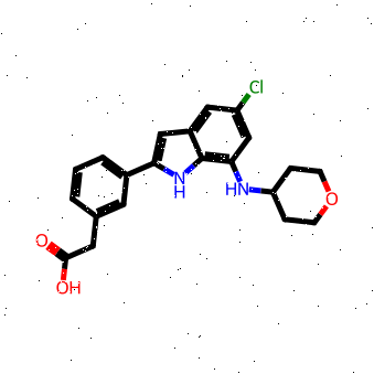 O=C(O)Cc1cccc(-c2cc3cc(Cl)cc(NC4CCOCC4)c3[nH]2)c1